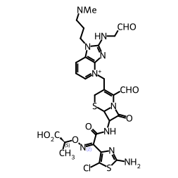 CNCCCn1c(NCC=O)nc2c1ccc[n+]2CC1=C(C=O)N2C(=O)C(NC(=O)/C(=N\O[C@@H](C)C(=O)O)c3nc(N)sc3Cl)C2SC1